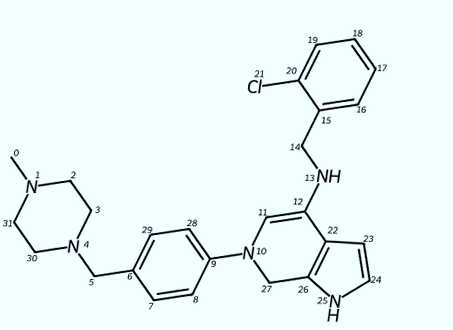 CN1CCN(Cc2ccc(N3C=C(NCc4ccccc4Cl)c4cc[nH]c4C3)cc2)CC1